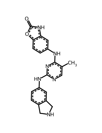 Cc1cnc(Nc2ccc3c(c2)CNC3)nc1Nc1ccc2oc(=O)[nH]c2c1